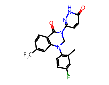 Cc1cc(F)ccc1N1CN(c2ccc(=O)[nH]n2)C(=O)c2ccc(C(F)(F)F)cc21